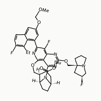 CCc1c(F)ccc2cc(OCOC)cc(-c3nc4c5c(nc(OC[C@@]67CCCN6C[C@@H](F)C7)nc5c3F)N3C[C@H]5CC[C@@H]([C@H]3CO4)N5C(=O)OC(C)(C)C)c12